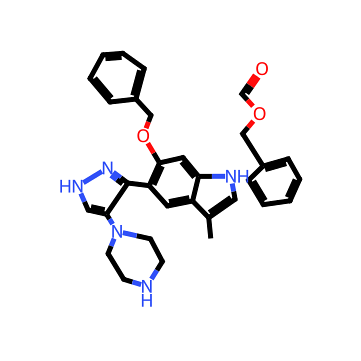 Cc1c[nH]c2cc(OCc3ccccc3)c(-c3n[nH]cc3N3CCNCC3)cc12.O=COCc1ccccc1